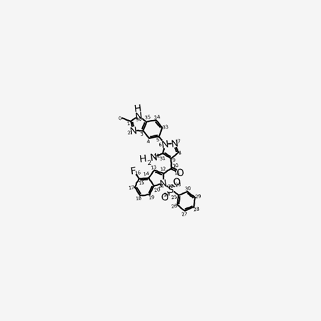 Cc1nc2cc(-n3ncc(C(=O)c4cc5c(F)cccc5n4S(=O)(=O)c4ccccc4)c3N)ccc2[nH]1